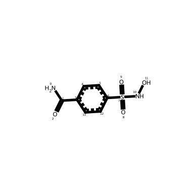 NC(=O)c1ccc(S(=O)(=O)NO)cc1